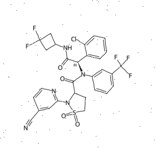 N#Cc1ccnc(N2C(C(=O)N(c3cccc(C(F)(F)F)c3)[C@@H](C(=O)NC3CC(F)(F)C3)c3ccccc3Cl)CCS2(=O)=O)c1